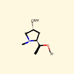 C=C(OC(C)C)[C@@H]1C[C@@H](OC)CN1C